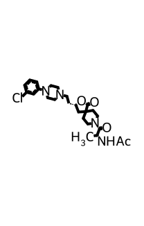 CC(=O)NC(C)C(=O)N1CCC2(CC1)C[C@H](CCN1CCN(c3cccc(Cl)c3)CC1)OC2=O